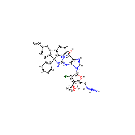 COc1ccc(C(Nc2nc3c(ncn3[C@@H]3O[C@@](CO)(CN=[N+]=[N-])[C@@H](C)[C@H]3F)c(=O)[nH]2)(c2ccccc2)c2ccccc2)cc1